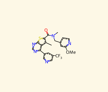 COc1cc(CN(C)C(=O)c2sc3ncnc(-c4cncc(C(F)(F)F)c4)c3c2C)ccn1